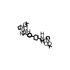 CC(C)(C)OC(=O)N1CCC[C@H]1c1ncc(C2=CCC(c3ccc(-c4cnc([C@@H]5CCCN5C(=O)OC(C)(C)C)[nH]4)cc3)CC2)[nH]1